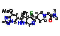 COc1cc(-c2[nH]c3cnc(C4CCN(CC(=O)N(C)C)CC4)c(F)c3c2C(C)C)cn2ncnc12